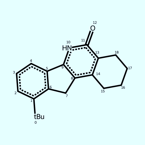 CC(C)(C)c1cccc2c1Cc1c-2[nH]c(=O)c2c1CCCC2